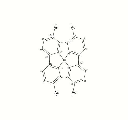 CC(=O)c1ccc2c(c1)C1(c3cc(C(C)=O)ccc3-2)c2cc(C(C)=O)ccc2-c2ccc(C(C)=O)cc21